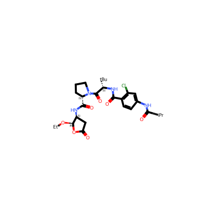 CCO[C@@H]1OC(=O)C[C@@H]1NC(=O)[C@@H]1CCCN1C(=O)[C@@H](NC(=O)c1ccc(NC(=O)C(C)C)cc1Cl)C(C)(C)C